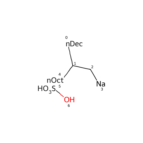 CCCCCCCCCCC([CH2][Na])CCCCCCCC.O=S(=O)(O)O